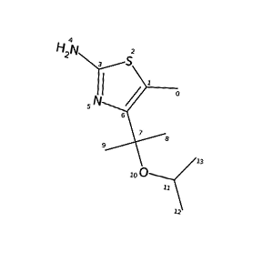 Cc1sc(N)nc1C(C)(C)OC(C)C